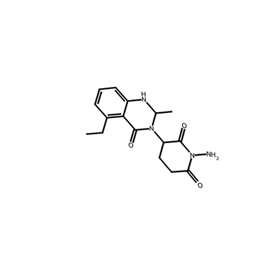 CCc1cccc2c1C(=O)N(C1CCC(=O)N(N)C1=O)C(C)N2